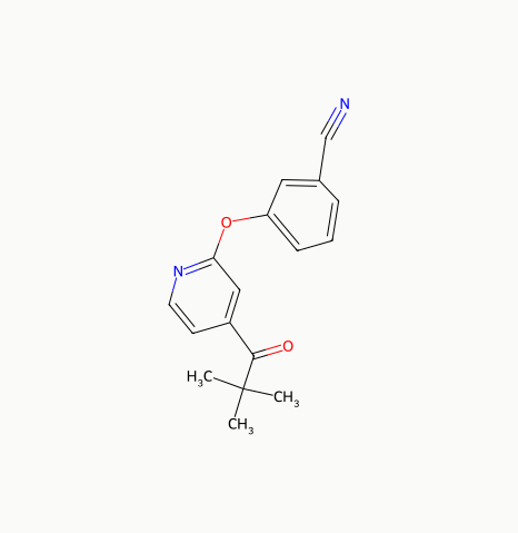 CC(C)(C)C(=O)c1ccnc(Oc2cccc(C#N)c2)c1